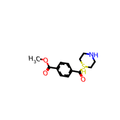 COC(=O)c1ccc(C(=O)[SH]2CCNCC2)cc1